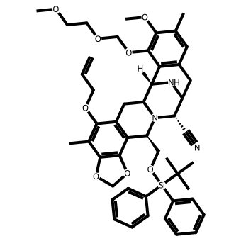 C=CCOc1c(C)c2c(c3c1CC1[C@H]4NC(Cc5cc(C)c(OC)c(OCOCCOC)c54)[C@H](C#N)N1[C@H]3CO[Si](c1ccccc1)(c1ccccc1)C(C)(C)C)OCO2